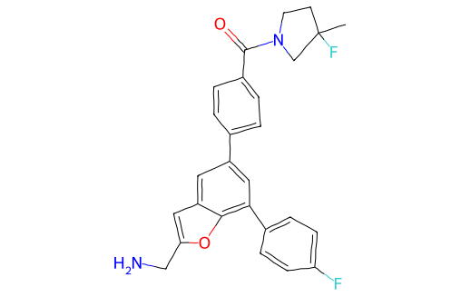 CC1(F)CCN(C(=O)c2ccc(-c3cc(-c4ccc(F)cc4)c4oc(CN)cc4c3)cc2)C1